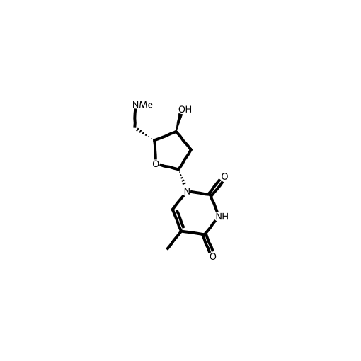 CNC[C@H]1O[C@@H](n2cc(C)c(=O)[nH]c2=O)C[C@@H]1O